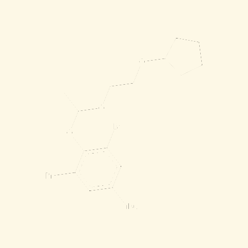 CCC(C)c1cc(Br)c(OC(C)OCCOC2CCCC2)c(Br)c1